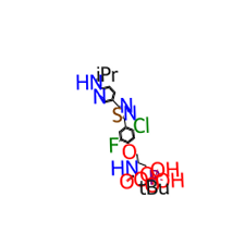 CC(C)Nc1ccc(-c2nnc(-c3cc(F)c(OCC(COP(=O)(O)O)NC(=O)OC(C)(C)C)cc3Cl)s2)cn1